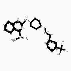 CN(C)c1nc(N[C@H]2CC[C@@H](CNCc3cccc(C(F)(F)F)c3)CC2)nc2ccccc12